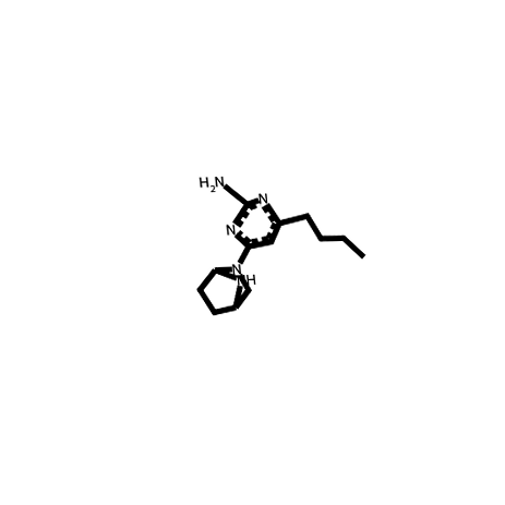 CCCCc1cc(N2CC3CCC2N3)nc(N)n1